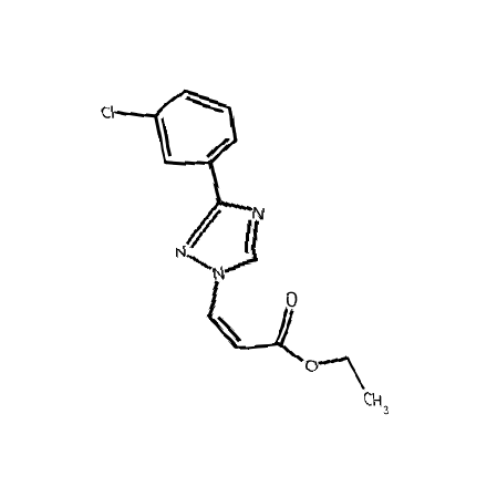 CCOC(=O)/C=C\n1cnc(-c2cccc(Cl)c2)n1